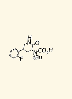 CC(C)(C)N(C(=O)O)[C@H]1C[C@@H](c2ccccc2F)CNC1=O